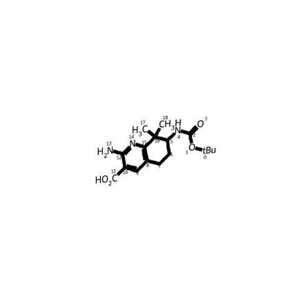 CC(C)(C)OC(=O)NC1CCc2cc(C(=O)O)c(N)nc2C1(C)C